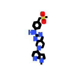 Cn1ccc2c(N3CCc4cnc(Nc5ccc(CS(C)(=O)=O)cc5)nc4C3)ccnc21